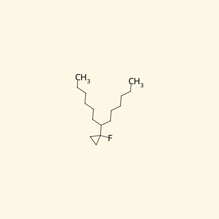 CCCCCCC(CCCCCC)C1(F)CC1